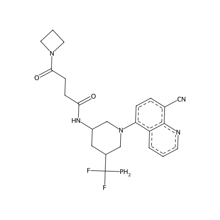 N#Cc1ccc(N2CC(NC(=O)CCC(=O)N3CCC3)CC(C(F)(F)P)C2)c2cccnc12